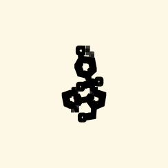 Cc1ccc(S(=O)(=O)n2ccc(C=O)c2-c2nccs2)cc1